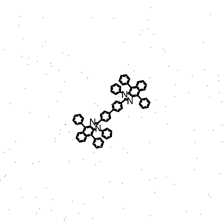 c1ccc(-c2c3ccccc3c(-c3ccccc3)c3c2nc(-c2ccc(-c4ccc(-c5nc6c(-c7ccccc7)c7ccccc7c(-c7ccccc7)c6n5-c5ccccc5)cc4)cc2)n3-c2ccccc2)cc1